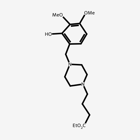 CCOC(=O)CCCN1CCN(Cc2ccc(OC)c(OC)c2O)CC1